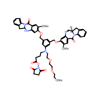 COCCOCCOCCN(CCCC(=O)ON1C(=O)CCC1=O)c1cc(COc2cc3c(cc2OC)C(=O)N2c4ccccc4C[C@H]2C=N3)cc(COc2cc3c(cc2OC)C(=O)N2c4ccccc4CC2N3)c1